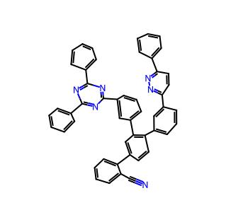 N#Cc1ccccc1-c1ccc(-c2cccc(-c3ccc(-c4ccccc4)nn3)c2)c(-c2cccc(-c3nc(-c4ccccc4)nc(-c4ccccc4)n3)c2)c1